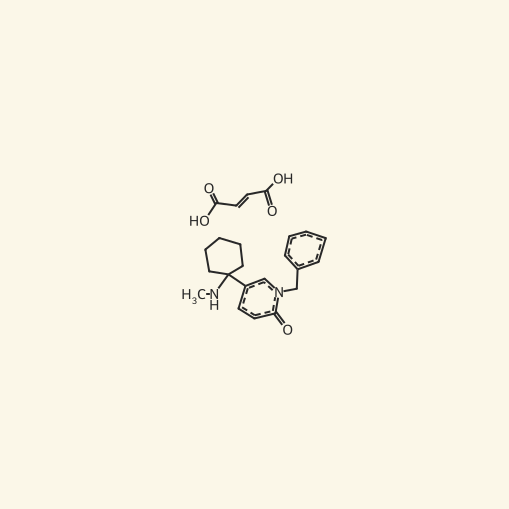 CNC1(c2ccc(=O)n(Cc3ccccc3)c2)CCCCC1.O=C(O)C=CC(=O)O